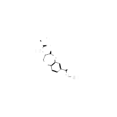 CC(C)(C)OC(=O)N[C@H]1CSc2ccc(C(=O)NN)cc2NC1=O